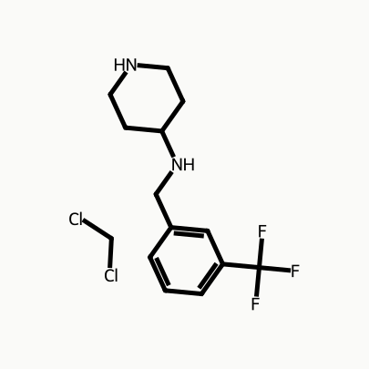 ClCCl.FC(F)(F)c1cccc(CNC2CCNCC2)c1